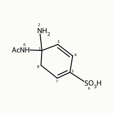 CC(=O)NC1(N)C=CC(S(=O)(=O)O)=CC1